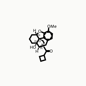 COc1ccc2c3c1O[C@H]1CCC[C@@]4(O)[C@@H](C2)N(C(=O)C2CCC2)CC[C@]314